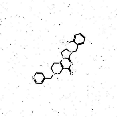 Cc1ccccc1CN1CCn2c1nc(=O)c1c2CCN(Cc2ccncc2)C1